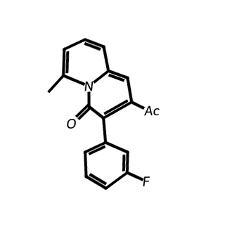 CC(=O)c1cc2cccc(C)n2c(=O)c1-c1cccc(F)c1